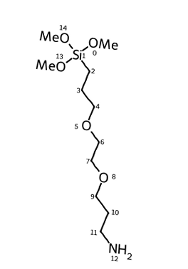 CO[Si](CCCOCCOCCCN)(OC)OC